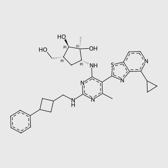 Cc1nc(NCC2CC(c3ccccc3)C2)nc(N[C@@H]2C[C@H](CO)[C@@H](O)[C@@]2(C)O)c1-c1nc2c(C3CC3)nccc2s1